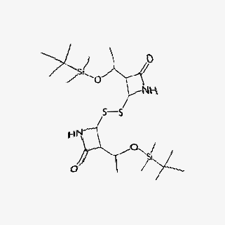 CC(O[Si](C)(C)C(C)(C)C)C1C(=O)NC1SSC1NC(=O)C1C(C)O[Si](C)(C)C(C)(C)C